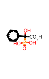 O=C(O)C(O)(c1ccccc1)P(=O)(O)O